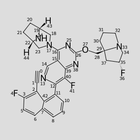 C#Cc1c(F)ccc2cccc(-c3ncc4c(N5C[C@H]6CC[C@@H](C5)N6)nc(OC[C@@]56CCCN5C[C@H](F)C6)nc4c3F)c12